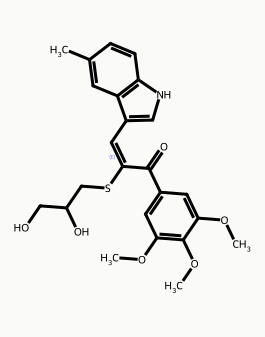 COc1cc(C(=O)/C(=C\c2c[nH]c3ccc(C)cc23)SCC(O)CO)cc(OC)c1OC